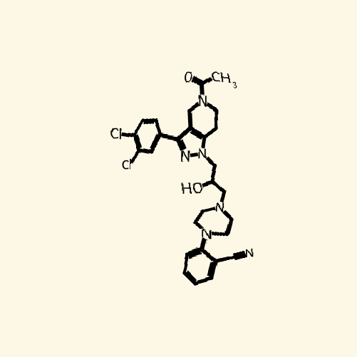 CC(=O)N1CCc2c(c(-c3ccc(Cl)c(Cl)c3)nn2CC(O)CN2CCN(c3ccccc3C#N)CC2)C1